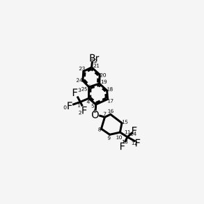 FC(F)(F)c1c(OC2CCC(C(F)(F)F)CC2)ccc2cc(Br)ccc12